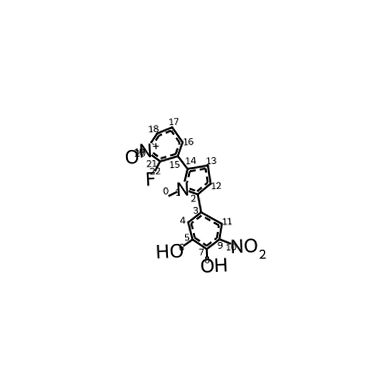 Cn1c(-c2cc(O)c(O)c([N+](=O)[O-])c2)ccc1-c1ccc[n+]([O-])c1F